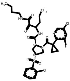 CCCCNC(=O)C(=O)C(CCC)NC(=O)[C@@H]1C[C@@H](S(=O)(=O)c2ccccc2Cl)CN1C(=O)C1(c2ncc(Cl)cc2F)CC1